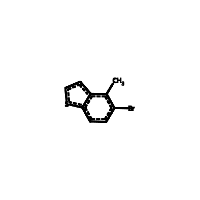 Cc1c(Br)ccc2sccc12